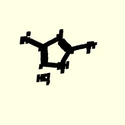 CC(C)c1c[nH]c(C(C)C)n1.Cl